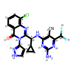 N#Cc1c(N[C@H](c2nc3c(Cl)cccc3c(=O)n2-c2cc[nH]n2)C2CC2)nc(N)nc1C(F)F